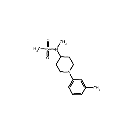 Cc1cccc(N2CCC(N(C)S(C)(=O)=O)CC2)c1